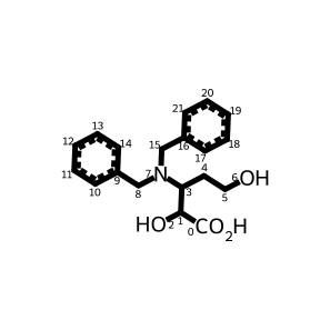 O=C(O)C(O)C(CCO)N(Cc1ccccc1)Cc1ccccc1